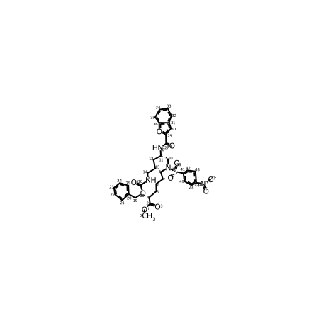 COC(=O)CCCCCN(C[C@H](CCCNC(=O)OCc1ccccc1)NC(=O)c1cc2ccccc2o1)S(=O)(=O)c1ccc([N+](=O)[O-])cc1